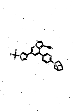 N#Cc1cnn2cc(-c3cnn(C(F)(F)F)c3)cc(-c3ccc(N4CC5CC(C4)N5)nc3)c12